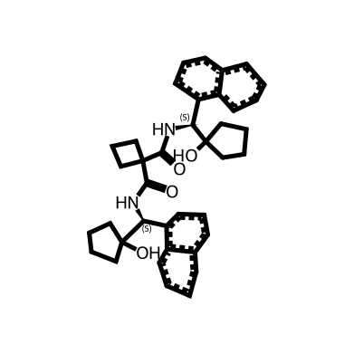 O=C(N[C@@H](c1cccc2ccccc12)C1(O)CCCC1)C1(C(=O)N[C@@H](c2cccc3ccccc23)C2(O)CCCC2)CCC1